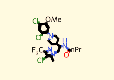 CCCC(=O)NC(Cn1nc(C(F)(F)F)c(Cl)c1C)C1CCN(c2cc(OC)c(Cl)cc2Cl)CC1